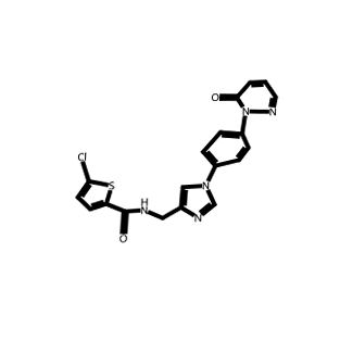 O=C(NCc1cn(-c2ccc(-n3ncccc3=O)cc2)cn1)c1ccc(Cl)s1